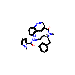 CN(C(=O)c1cnc2ccccc2c1)[C@H](CCNC(=O)c1cccn1C)Cc1ccccc1